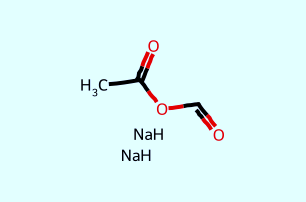 CC(=O)OC=O.[NaH].[NaH]